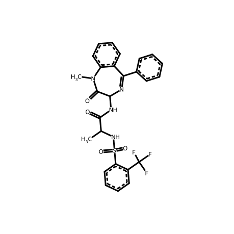 CC(NS(=O)(=O)c1ccccc1C(F)(F)F)C(=O)NC1N=C(c2ccccc2)c2ccccc2N(C)C1=O